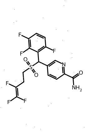 NC(=O)c1ccc(C(c2c(F)ccc(F)c2F)S(=O)(=O)CCC(F)=C(F)F)cn1